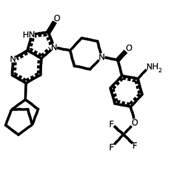 Nc1cc(OC(F)(F)F)ccc1C(=O)N1CCC(n2c(=O)[nH]c3ncc(C4CC5CCC4C5)cc32)CC1